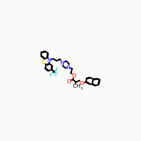 CC(COc1ccc2ccccc2c1)C(=O)OCCN1CCN(CCCN2c3ccccc3Sc3ccc(C(F)(F)F)cc32)CC1